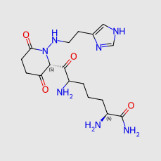 NC(=O)[C@@H](N)CCCC(N)C(=O)[C@@H]1C(=O)CCC(=O)N1NCCc1c[nH]cn1